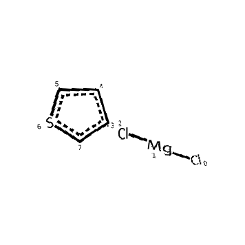 [Cl][Mg][Cl].[c]1ccsc1